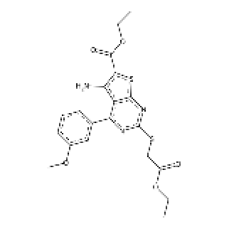 CCOC(=O)CSc1nc(-c2cccc(OC)c2)c2c(N)c(C(=O)OCC)sc2n1